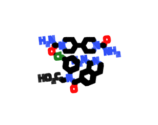 NC(=O)N1CCC(C2CCN(C(N)=O)CC2)CC1.Nc1nccc2ccc(C(=O)N(CC(=O)O)c3cccc(Cl)c3)cc12